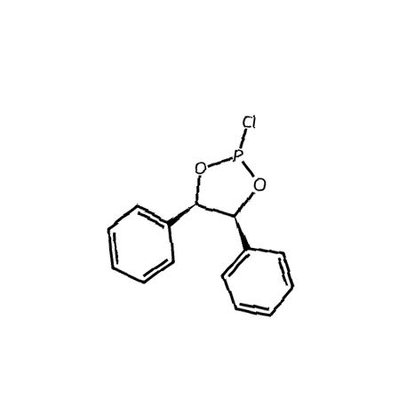 ClP1O[C@H](c2ccccc2)[C@H](c2ccccc2)O1